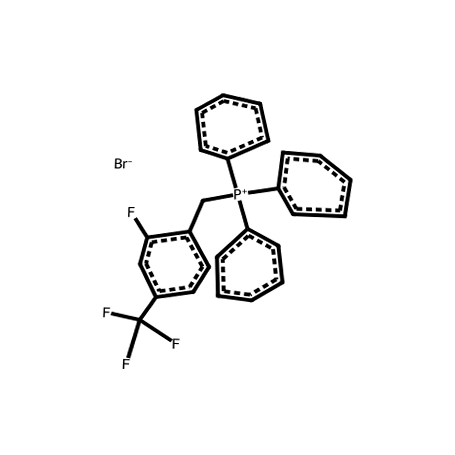 Fc1cc(C(F)(F)F)ccc1C[P+](c1ccccc1)(c1ccccc1)c1ccccc1.[Br-]